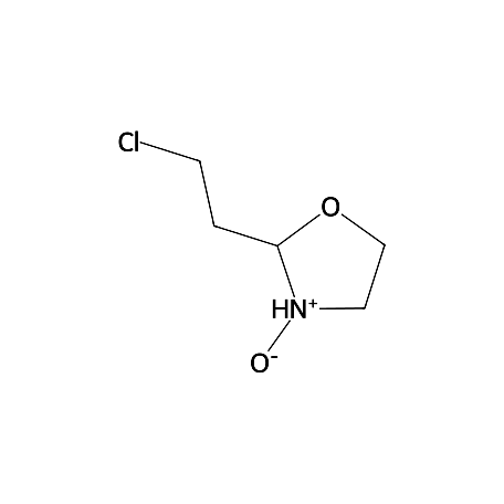 [O-][NH+]1CCOC1CCCl